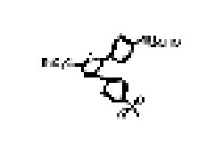 CCOC(=O)c1cc(-c2ccc(S(C)(=O)=O)cc2)n(-c2ccc(NCC=O)cc2)n1